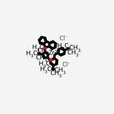 CCC1=[C]([Zr+2](=[C](c2ccc(C(C)(C)C)cc2)c2ccc(C(C)(C)C)cc2)[c]2cccc3c2Cc2ccccc2-3)C(CC)C=C1C(C)(C)C.[Cl-].[Cl-]